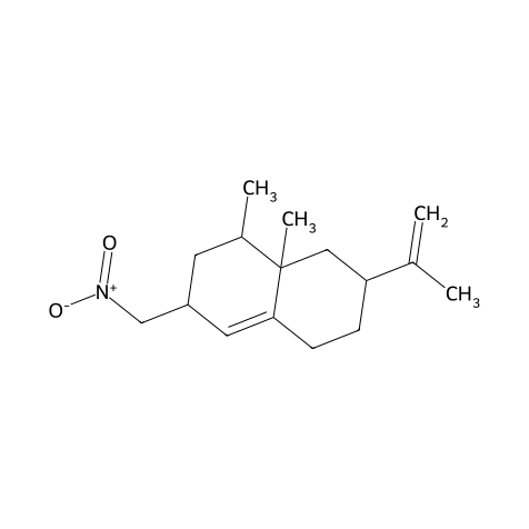 C=C(C)C1CCC2=CC(C[N+](=O)[O-])CC(C)C2(C)C1